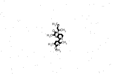 COC[C@@H](C)n1c(=O)c(C)nc2c(-c3cc(C)c(OC)nc3C)nccc21